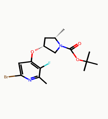 Cc1nc(Br)cc(O[C@@H]2C[C@H](C)N(C(=O)OC(C)(C)C)C2)c1F